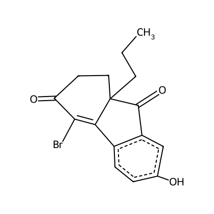 CCCC12CCC(=O)C(Br)=C1c1ccc(O)cc1C2=O